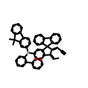 C#C/C=C1\C(=C/C)c2ccc(N(c3ccc4c(c3)C(C)(C)c3ccccc3-4)c3ccccc3-c3ccccc3)cc2C12c1ccccc1-c1ccccc12